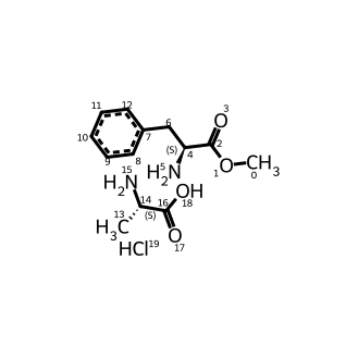 COC(=O)[C@@H](N)Cc1ccccc1.C[C@H](N)C(=O)O.Cl